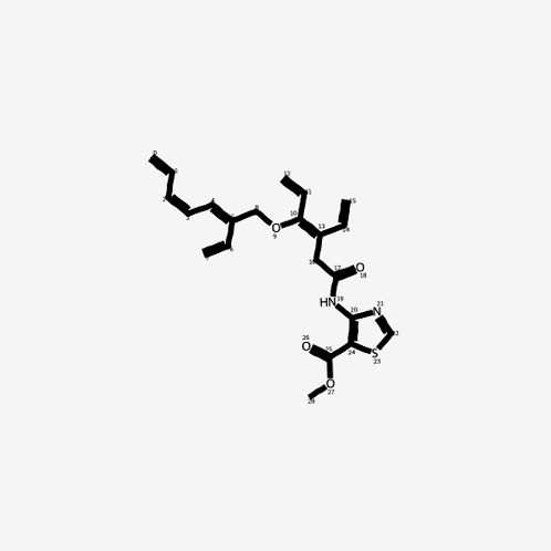 C=C/C=C\C=C(/C=C)CO/C(C=C)=C(/C=C)CC(=O)Nc1ncsc1C(=O)OC